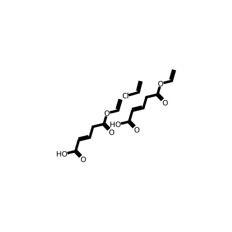 C=CCl.C=COC(=O)CC=CC(=O)O.C=COC(=O)CC=CC(=O)O